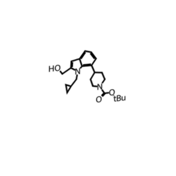 CC(C)(C)OC(=O)N1CCC(c2cccc3cc(CO)n(CC4CC4)c23)CC1